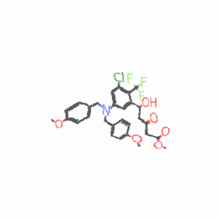 COC(=O)CC(=O)CC(O)c1cc(N(Cc2ccc(OC)cc2)Cc2ccc(OC)cc2)cc(Cl)c1C(F)(F)F